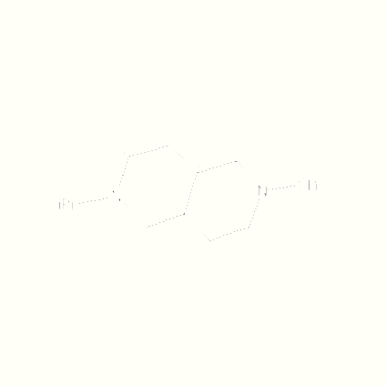 CC(C)N1CCC2CN(C)CCC2C1